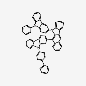 c1ccc(-c2ccc(-n3c4ccccc4c4ccc(-c5c6ccccc6cc6c7ccccc7n(-c7ccc8c(c7)c7ccccc7n8-c7ccccc7)c56)cc43)cc2)cc1